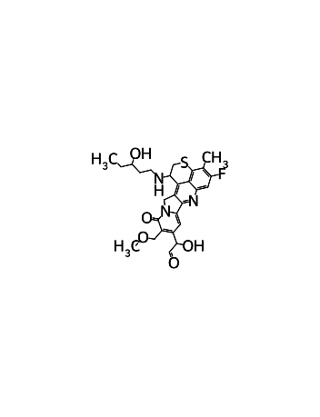 CCC(O)CCNC1CSc2c(C)c(F)cc3nc4c(c1c23)Cn1c-4cc(C(O)C=O)c(COC)c1=O